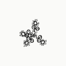 O=C(C[CH2][Sn]([CH2]CC(=O)Oc1ccccc1)([CH2]CC(=O)Oc1ccccc1)[CH2]CC(=O)Oc1ccccc1)Oc1ccccc1